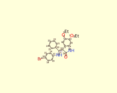 CCOc1cc2c(cc1OCC)/C(=C(/Nc1ccc(Br)cc1)c1ccccc1)C(=O)N2